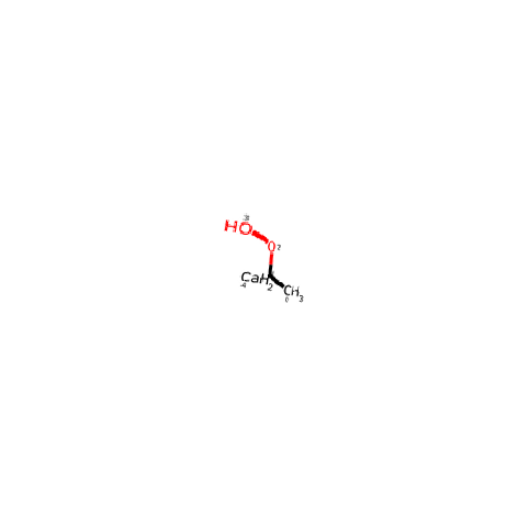 CCOO.[CaH2]